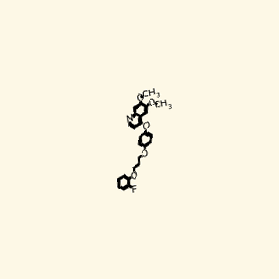 COc1cc2nccc(Oc3ccc(OCCCOc4ccccc4F)cc3)c2cc1OC